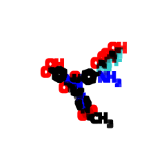 CCS(=O)(=O)N1CCN([C@H]2C[C@@H](C(=O)Nc3ccc(C(=O)O)cc3)N(C(=O)[C@H]3CC[C@H](CN)CC3)C2)CC1.O=C(O)C(F)(F)F.O=C(O)C(F)(F)F